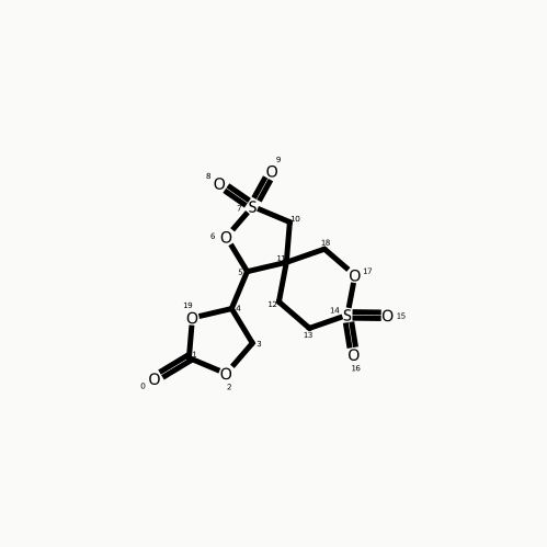 O=C1OCC(C2OS(=O)(=O)CC23CCS(=O)(=O)OC3)O1